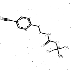 C#Cc1ccc(CCNC(=O)OC(C)(C)C)cc1